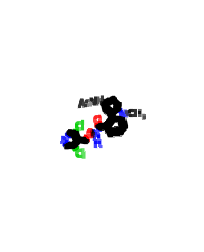 CC(=O)Nc1ccc2c(c1)c1c(C(=O)NOCc3c(Cl)cncc3Cl)cccc1n2C